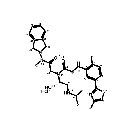 Cc1csc(-c2ccc(C)c(NCC(=O)N(CCNC(C)C)CC(=O)N(C)N3Cc4ccccc4C3)c2)n1.Cl.Cl